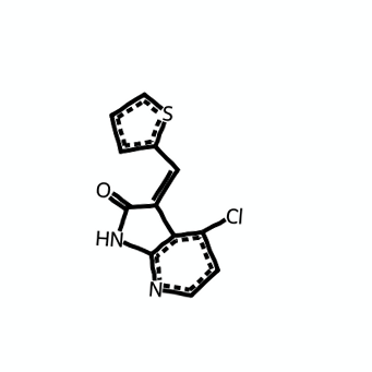 O=C1Nc2nccc(Cl)c2C1=Cc1cccs1